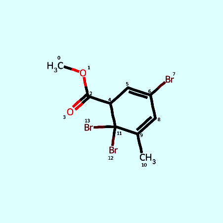 COC(=O)C1C=C(Br)C=C(C)C1(Br)Br